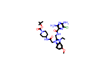 CCn1c(CNC(=O)c2nc(Cl)c(N)nc2N)[n+](CC(=O)NC2CCN(C(=O)OC(C)(C)C)CC2)c2ccc(OC)cc21